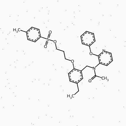 CCc1ccc(OCCCOS(=O)(=O)c2ccc(C)cc2)c(CN(C(C)=O)c2cccnc2Oc2ccccc2)c1